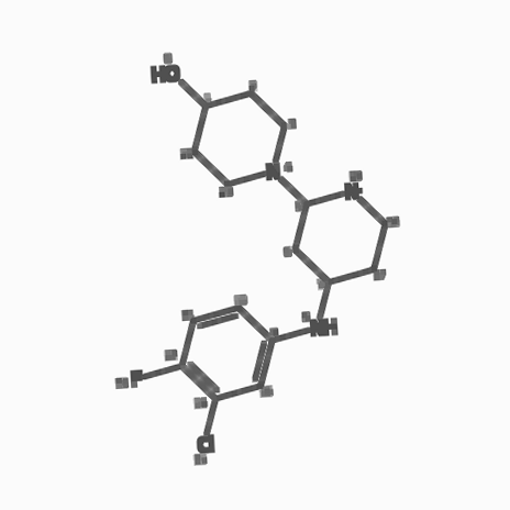 OC1CCN(C2CC(Nc3ccc(F)c(Cl)c3)CC[N]2)CC1